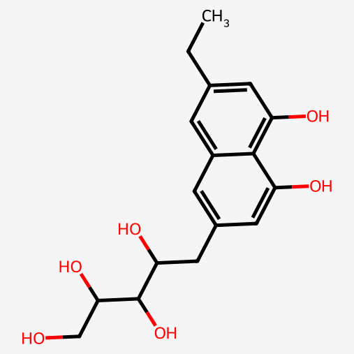 CCc1cc(O)c2c(O)cc(CC(O)C(O)C(O)CO)cc2c1